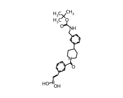 CC(C)(C)OC(=O)NCc1cccc(C2CCN(C(=O)c3cccc(C=CB(O)O)c3)CC2)c1